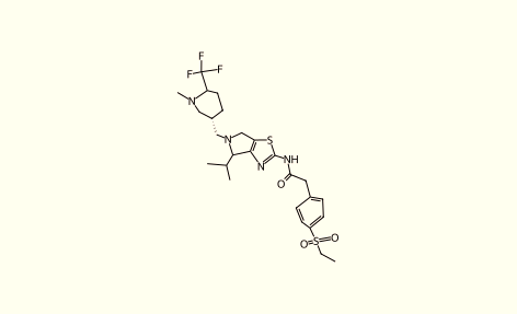 CCS(=O)(=O)c1ccc(CC(=O)Nc2nc3c(s2)CN(C[C@H]2CCC(C(F)(F)F)N(C)C2)C3C(C)C)cc1